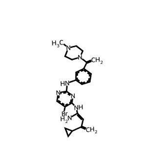 C=C(/C=C(\N)Nc1nc(Nc2cccc(C(=C)N3CCN(C)CC3)c2)ncc1Br)C1CC1